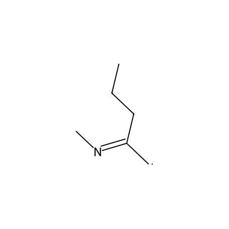 [CH2]C(CCC)=NC